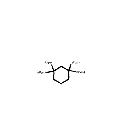 CCCCCC1(CCCCC)C[CH]CC(CCCCC)(CCCCC)C1